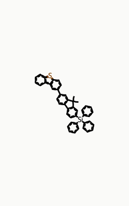 CC1(C)c2cc(-c3ccc4sc5ccccc5c4c3)ccc2-c2ccc([Si](c3ccccc3)(c3ccccc3)c3ccccc3)cc21